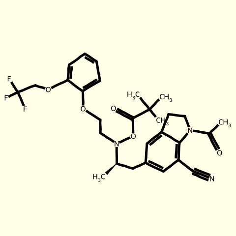 CC(=O)N1CCc2cc(C[C@@H](C)N(CCOc3ccccc3OCC(F)(F)F)OC(=O)C(C)(C)C)cc(C#N)c21